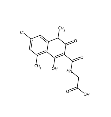 Cc1cc(Cl)cc2c1C(O)=C(C(=O)NCC(=O)O)C(=O)C2C